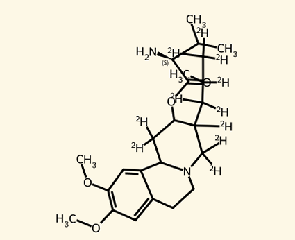 [2H]C1([2H])C2c3cc(OC)c(OC)cc3CCN2C([2H])([2H])C([2H])(C([2H])([2H])C([2H])(C)C([2H])([2H])[2H])C1OC(=O)[C@@H](N)C(C)C